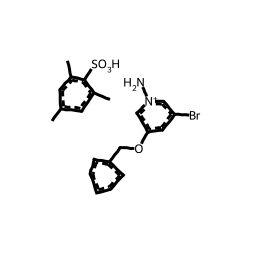 Cc1cc(C)c(S(=O)(=O)O)c(C)c1.N[n+]1cc(Br)cc(OCc2ccccc2)c1